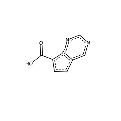 O=C(O)c1ccc2cncnn12